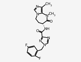 Cc1ncn2c1N(C)C(=O)[C@H](NC(=O)c1ncn(Cc3cc(F)ccc3F)n1)CC2